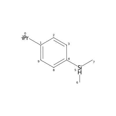 C[C](C)c1ccc([SiH](C)C)cc1